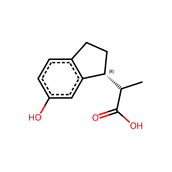 CC(C(=O)O)[C@H]1CCc2ccc(O)cc21